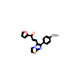 COc1ccc(-c2nc3sccn3c2C=CC(=O)c2ccco2)cc1